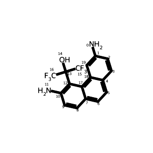 Nc1ccc2ccc3ccc(N)c(C(O)(C(F)(F)F)C(F)(F)F)c3c2c1